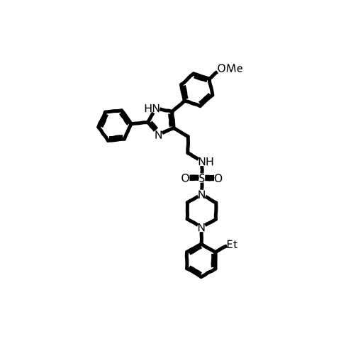 CCc1ccccc1N1CCN(S(=O)(=O)NCCc2nc(-c3ccccc3)[nH]c2-c2ccc(OC)cc2)CC1